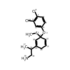 CSC1(Oc2ccc(Cl)c(Cl)c2)C=CCC(C(C)CN)=C1